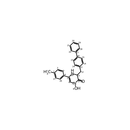 Cc1ccc(C2=CN(O)C(=O)C(Cc3ccc(-c4ccccc4)cc3)N2)cc1